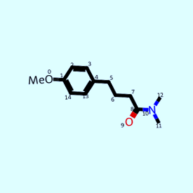 COc1ccc(CCCC(=O)N(C)C)cc1